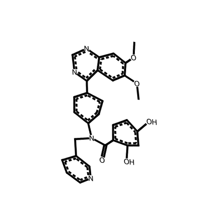 COc1cc2ncnc(-c3ccc(N(Cc4cccnc4)C(=O)c4ccc(O)cc4O)cc3)c2cc1OC